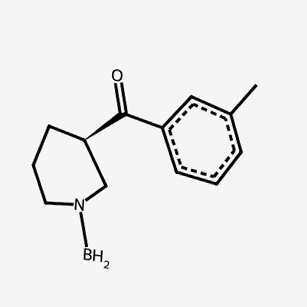 BN1CCC[C@@H](C(=O)c2cccc(C)c2)C1